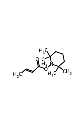 C/C=C/C(=O)ON1C(C)(C)CCCC1(C)C